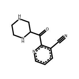 N#Cc1cccnc1C(=O)C1CNCCN1